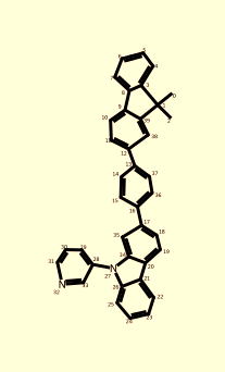 CC1(C)c2ccccc2-c2ccc(-c3ccc(-c4ccc5c6ccccc6n(-c6cccnc6)c5c4)cc3)cc21